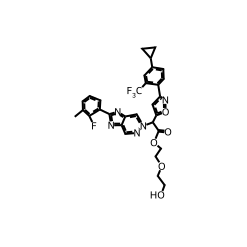 Cc1cccc(-c2nc3cnn(C(C(=O)OCCOCCO)c4cc(-c5ccc(C6CC6)cc5C(F)(F)F)no4)cc-3n2)c1F